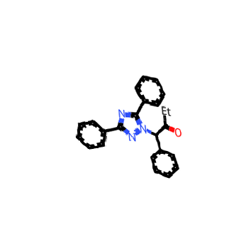 CCC(=O)C(c1ccccc1)n1nc(-c2ccccc2)nc1-c1ccccc1